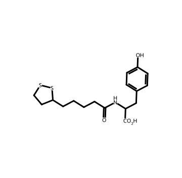 O=C(CCCCC1CCSS1)NC(Cc1ccc(O)cc1)C(=O)O